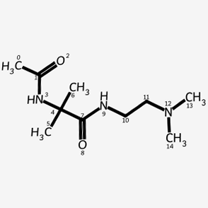 CC(=O)NC(C)(C)C(=O)NCCN(C)C